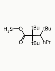 CCCC(C(C)(C)C)C(C(=O)O[SiH3])(C(C)(C)C)C(C)(C)C